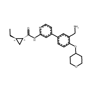 CC[C@@H]1C[C@H]1C(=O)Nc1cc(-c2ccc(OC3CCOCC3)c(CN)c2)ccn1